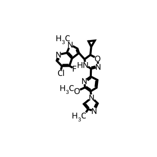 COc1nc(C2=NOC(C3CC3)C(c3cn(C)c4ncc(Cl)c(F)c34)N2)ccc1-n1cnc(C)c1